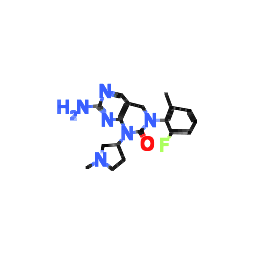 Cc1cccc(F)c1N1Cc2cnc(N)nc2N(C2CCN(C)C2)C1=O